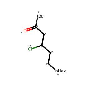 CCCCCCCCC(Cl)CC(=O)C(C)(C)C